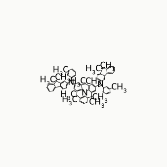 Cc1cccc(N(c2ccc3c(c2)C(C)(C)c2ccccc2-3)c2cc3c4c(c2)C(C)(C)c2cc(N(c5cccc(C)c5)c5ccc6c(c5)-c5ccccc5C6(C)C)cc5c2N4C2=C(C=CCC2C5(C)C)C3(C)C)c1